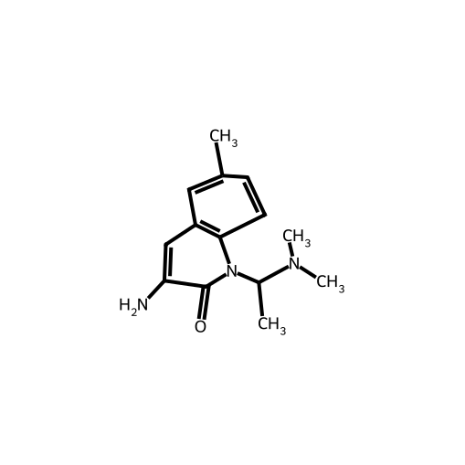 Cc1ccc2c(c1)cc(N)c(=O)n2C(C)N(C)C